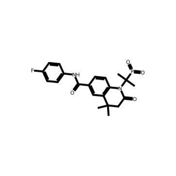 CC1(C)CC(=O)N(C(C)(C)P(=O)=O)c2ccc(C(=O)Nc3ccc(F)cc3)cc21